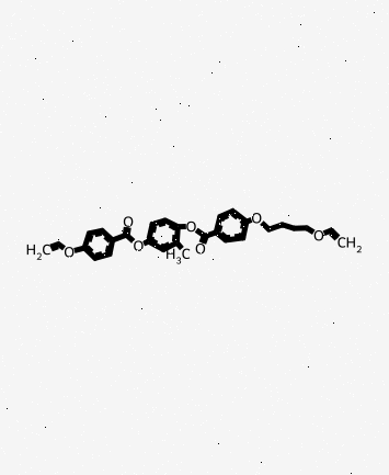 C=COCCCCOc1ccc(C(=O)Oc2ccc(OC(=O)c3ccc(OC=C)cc3)cc2C)cc1